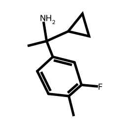 Cc1ccc(C(C)(N)C2CC2)cc1F